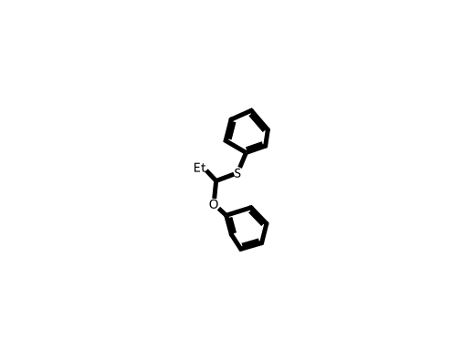 CCC(Oc1ccccc1)Sc1ccccc1